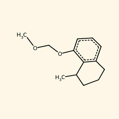 COCOc1cccc2c1C(C)CCC2